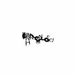 CN1CC(Cc2ccc(Cl)c(F)c2)c2nnc3cc(-c4ccnc(Nc5ccn[nH]5)n4)cc1n23